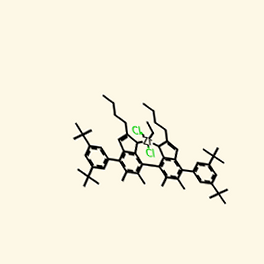 CCCCC1=Cc2c(-c3cc(C(C)(C)C)cc(C(C)(C)C)c3)c(C)c(C)c(C)c2[CH]1[Zr]([Cl])([Cl])([CH2]C)[CH]1C(CCCC)=Cc2c(-c3cc(C(C)(C)C)cc(C(C)(C)C)c3)c(C)c(C)c(C)c21